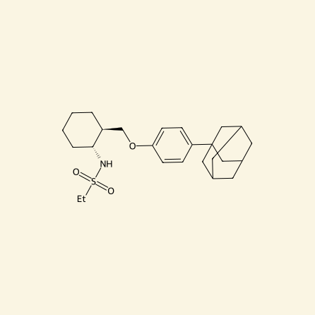 CCS(=O)(=O)N[C@@H]1CCCC[C@H]1COc1ccc(C23CC4CC(CC(C4)C2)C3)cc1